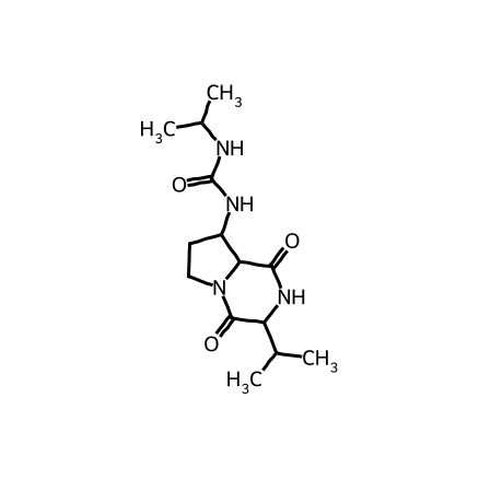 CC(C)NC(=O)NC1CCN2C(=O)C(C(C)C)NC(=O)C12